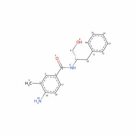 Cc1cc(C(=O)N[C@H](CO)Cc2ccccc2)ccc1N